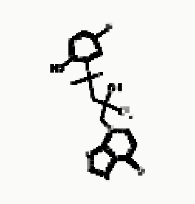 CC(C)(CC(O)(Cn1ccc(=O)c2ncoc21)C(F)(F)F)c1cc(F)ccc1O